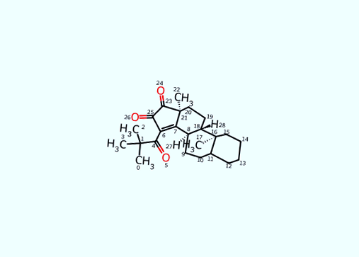 CC(C)(C)C(=O)C1=C2[C@@H]3CCC4CCCC[C@]4(C)[C@H]3CC[C@]2(C)C(=O)C1=O